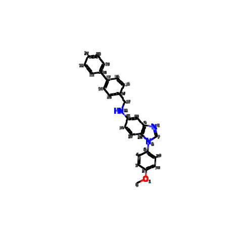 COc1ccc(-n2cnc3cc(NCc4ccc(-c5ccccc5)cc4)ccc32)cc1